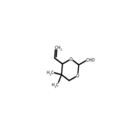 C=CC1OC(C=O)OCC1(C)C